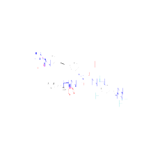 COC(=O)NC(C(=O)N[C@@H](Cc1ccc(C#Cc2ccc(N3CC4CCC(C3)N4CC3(C)COC3)nc2)cc1)[C@@H](O)CNCc1c(F)cc(-c2cnn(C(F)F)c2)cc1F)C(C)(C)C(F)(F)F